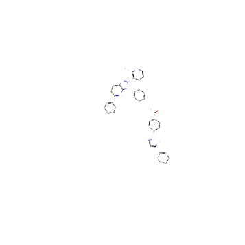 Nc1ncccc1-c1nc2ccc(-c3ccccc3)nc2n1-c1ccc(CNC(=O)c2ccc(-n3nc(-c4ccccc4)cc3O)cc2)cc1